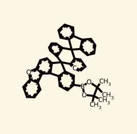 CC1(C)OB(c2ccc3c(c2)C2(c4ccccc4C4(c5ccccc5-c5ccccc54)c4ccccc42)c2ccc4oc5ccccc5c4c2-3)OC1(C)C